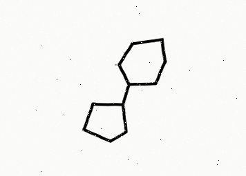 [CH]1CCCCC1C1CCCC1